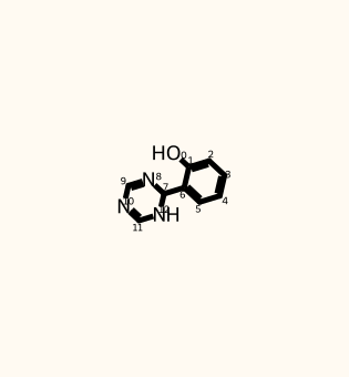 Oc1ccccc1C1N=CN=CN1